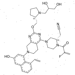 C=Cc1cccc2cc(O)cc(N3CCc4c(nc(OC[C@@H]5CCCN5CC(O)CO)nc4N4CCN(C(=O)C(=C)F)[C@@H](CC#N)C4)C3)c12